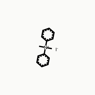 C[N+](C)(c1ccccc1)c1ccccc1.[I-]